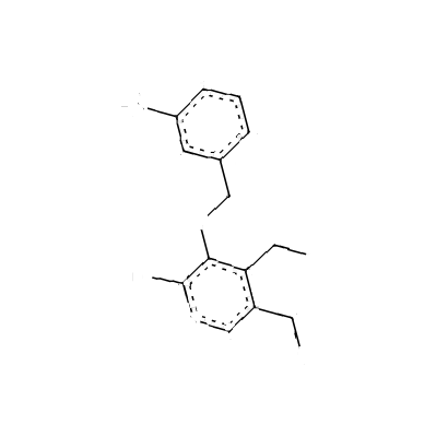 CCc1c(CO)cnc(C)c1OCc1cccc(N)c1